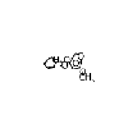 CO[C@@H]1C[C@H](OCc2ccccc2)[C@@]2(C)COC1O2